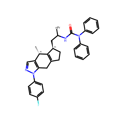 CCCC(C[C@H]1CCC2=C1[C@@H](C)c1cnn(-c3ccc(F)cc3)c1C2)NC(=O)N(c1ccccc1)c1ccccc1